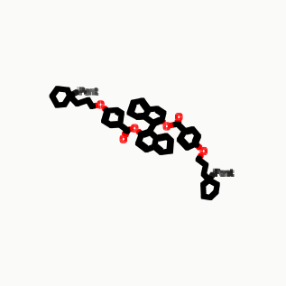 CCCC(C)C1(CCCOc2ccc(C(=O)Oc3ccc4ccccc4c3-c3c(OC(=O)c4ccc(OCCCC5(C(C)CCC)CCCCC5)cc4)ccc4ccccc34)cc2)CCCCC1